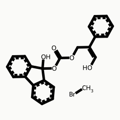 CBr.O=C(OCC(=CO)c1ccccc1)OC1(O)c2ccccc2-c2ccccc21